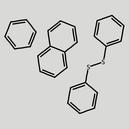 c1ccc(SSc2ccccc2)cc1.c1ccc2ccccc2c1.c1ccccc1